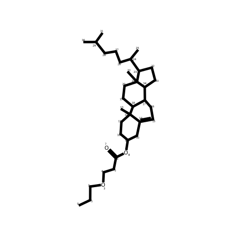 CCCOCCC(=O)OC1CCC2(C)C(=CCC3C2CCC2(C)C(C(C)CCCC(C)C)CCC32)C1